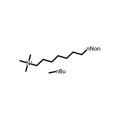 CCCCC.CCCCCCCCCCCCCCCC[N+](C)(C)C